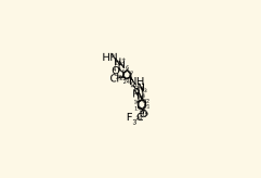 N=[N+]=NC(=O)c1ccc(NCc2ncn(-c3ccc(OC(F)(F)F)cc3)n2)cc1Cl